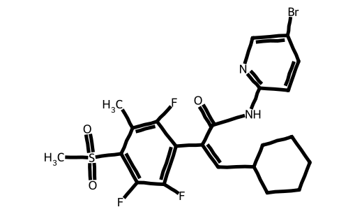 Cc1c(F)c(C(=CC2CCCCC2)C(=O)Nc2ccc(Br)cn2)c(F)c(F)c1S(C)(=O)=O